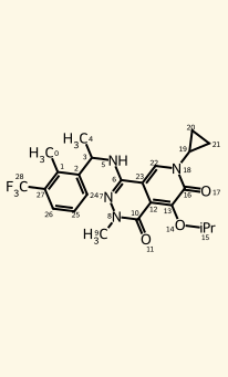 Cc1c(C(C)Nc2nn(C)c(=O)c3c(OC(C)C)c(=O)n(C4CC4)cc23)cccc1C(F)(F)F